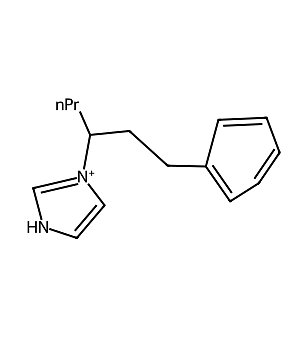 CCCC(CCc1ccccc1)[n+]1cc[nH]c1